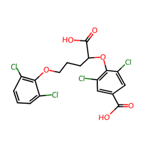 O=C(O)c1cc(Cl)c(OC(CCCOc2c(Cl)cccc2Cl)C(=O)O)c(Cl)c1